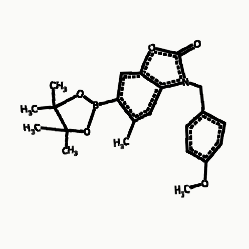 COc1ccc(Cn2c(=O)oc3cc(B4OC(C)(C)C(C)(C)O4)c(C)cc32)cc1